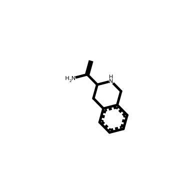 C=C(N)C1Cc2ccccc2CN1